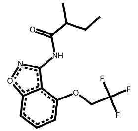 CCC(C)C(=O)Nc1noc2cccc(OCC(F)(F)F)c12